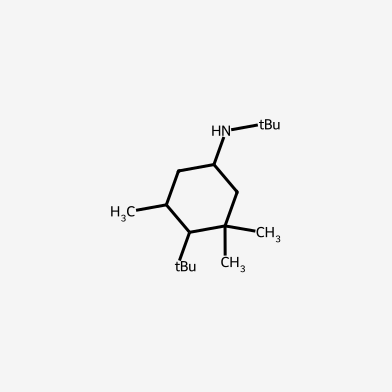 CC1CC(NC(C)(C)C)CC(C)(C)C1C(C)(C)C